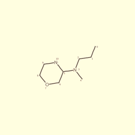 CCCN(C)C1COCC[N]1